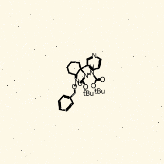 CC(C)(C)OC(=O)NN(C(=O)OC(C)(C)C)C1(c2cccnc2)CCCCC1=NOCc1ccccc1